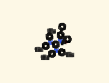 CC(C)(C)C1C=CC(N(C2=CCC(C(C)(C)C)C=C2)C2=CC(N3C4=CCC(C5CCCCC5)C=C4C4(CCCCC4)C3(C)C)CC(N(C3=CCC(C(C)(C)C)C=C3)C3=CCC(C(C)(C)C)CC3)=C2)=CC1